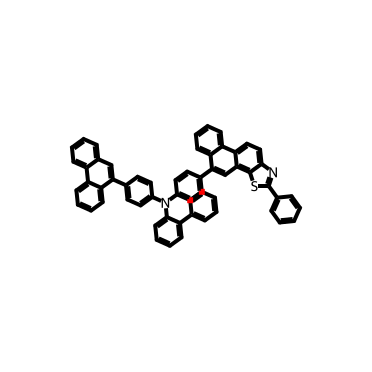 c1ccc(-c2nc3ccc4c5ccccc5c(-c5ccc(N(c6ccc(-c7cc8ccccc8c8ccccc78)cc6)c6ccccc6-c6ccccc6)cc5)cc4c3s2)cc1